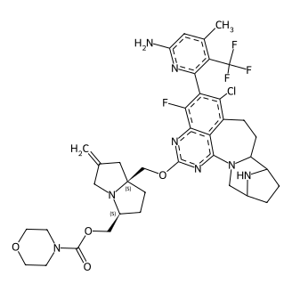 C=C1CN2[C@H](COC(=O)N3CCOCC3)CC[C@@]2(COc2nc3c4c(c(Cl)c(-c5nc(N)cc(C)c5C(F)(F)F)c(F)c4n2)CCC2C4CCC(CN32)N4)C1